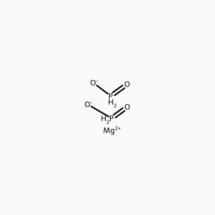 O=[PH2][O-].O=[PH2][O-].[Mg+2]